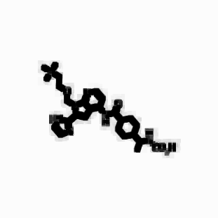 CC(NC(=O)O)C1CCC(C(=O)Nc2ccnc3c2cc(-c2ncc[nH]2)n3COCC[Si](C)(C)C)CC1